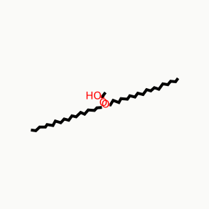 CC(=O)O.CCCCCCCCCCCCCCCCCCOCCCCCCCCCCCCCCCCCC